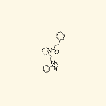 O=C(CCc1ccccc1)N1CCCCC1CCn1ccnc1-c1ccccc1